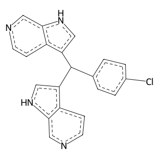 Clc1ccc(C(c2c[nH]c3cnccc23)c2c[nH]c3cnccc23)cc1